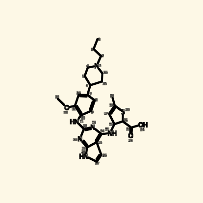 CCCN1CCC(c2ccc(Nc3nc(NC4C=C(C)SC4C(=O)O)c4cc[nH]c4n3)c(OC)c2)CC1